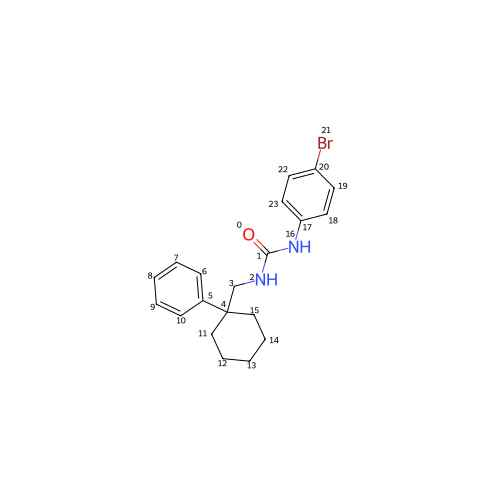 O=C(NCC1(c2ccccc2)CCCCC1)Nc1ccc(Br)cc1